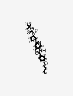 CCCCOc1ccc(C(=O)Nc2cnc(N3CCC(N(C)C(=O)OC(C)(C)C)C3)cc2C)cc1